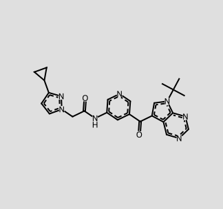 CC(C)(C)n1cc(C(=O)c2cncc(NC(=O)Cn3ccc(C4CC4)n3)c2)c2cncnc21